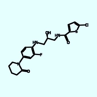 O=C(NC[C@H](O)CNc1ccc(N2CCCCC2=O)cc1F)c1ccc(Cl)s1